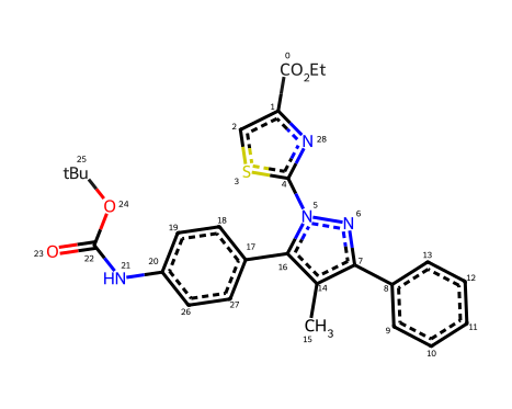 CCOC(=O)c1csc(-n2nc(-c3ccccc3)c(C)c2-c2ccc(NC(=O)OC(C)(C)C)cc2)n1